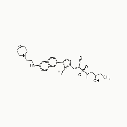 CCC(O)CNS(=O)(=O)/C(C#N)=C/c1ccc(-c2ccc3cc(NCCN4CCOCC4)ccc3c2)n1C